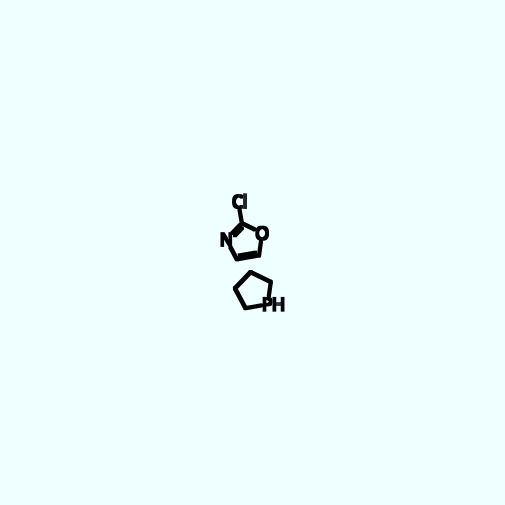 C1CCPC1.Clc1ncco1